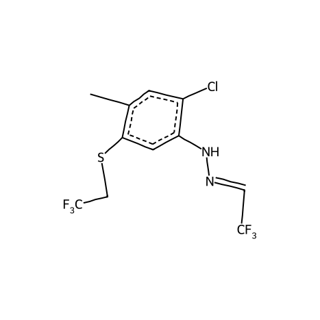 Cc1cc(Cl)c(NN=CC(F)(F)F)cc1SCC(F)(F)F